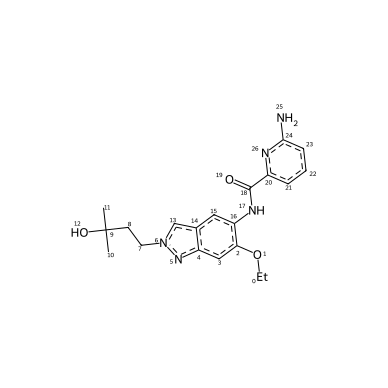 CCOc1cc2nn(CCC(C)(C)O)cc2cc1NC(=O)c1cccc(N)n1